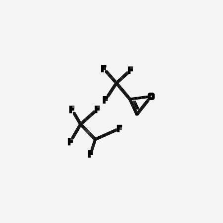 FC(F)(F)C1=CO1.FC(F)C(F)(F)F